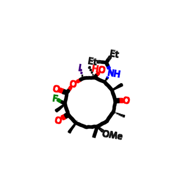 CCC(CC)N[C@@H]1[C@@H](C)C(=O)[C@H](C)C[C@@](C)(OC)C[C@@H](C)C(=O)[C@](C)(F)C(=O)O[C@H](I)[C@@]1(C)O